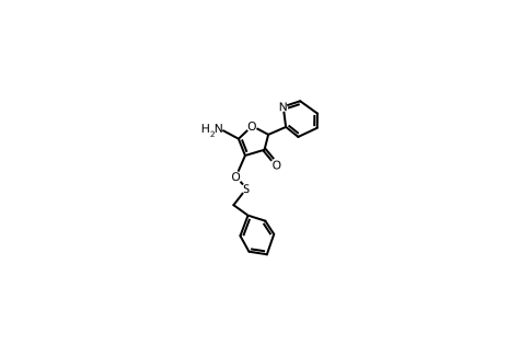 NC1=C(OSCc2ccccc2)C(=O)C(c2ccccn2)O1